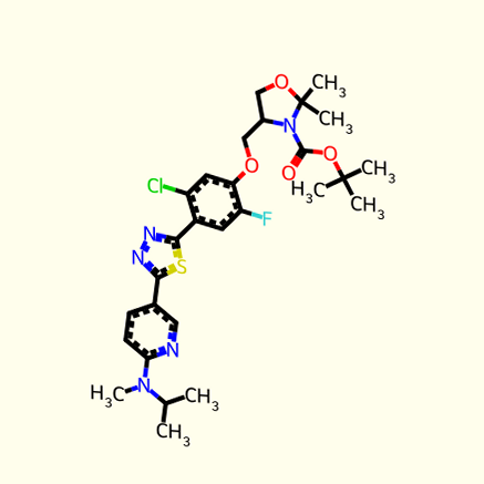 CC(C)N(C)c1ccc(-c2nnc(-c3cc(F)c(OCC4COC(C)(C)N4C(=O)OC(C)(C)C)cc3Cl)s2)cn1